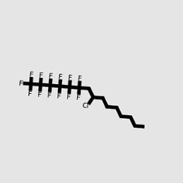 CCCCCCCC(Cl)CC(F)(F)C(F)(F)C(F)(F)C(F)(F)C(F)(F)C(F)(F)F